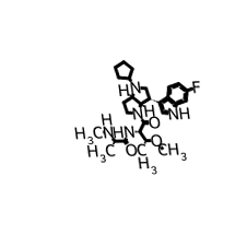 CN[C@@H](C)C(=O)N[C@H](C(=O)N1CC[C@@H]2[C@H]1[C@@H](c1c[nH]c3cc(F)ccc13)CN2C1CCCC1)[C@@H](C)OC